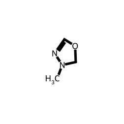 CN1COC=N1